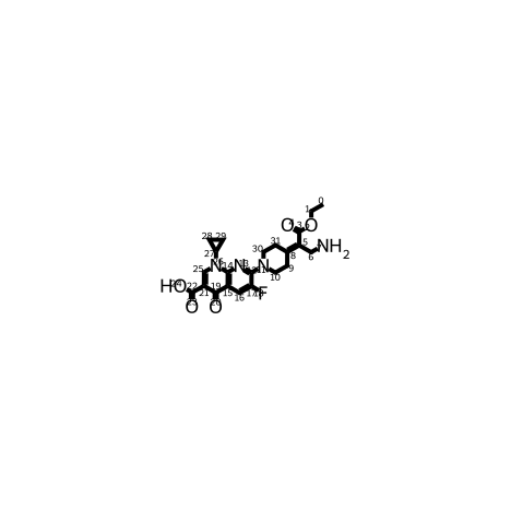 CCOC(=O)C(CN)=C1CCN(c2nc3c(cc2F)c(=O)c(C(=O)O)cn3C2CC2)CC1